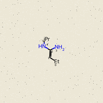 CC/C=C(\N)NC(C)C